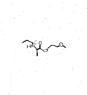 CC[C@H](C)NC(C)C(=O)OCCOC